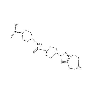 O=C(N[C@H]1CC[C@H](C(=O)O)CC1)C1CCC(c2nc3c(s2)CCNCC3)CC1